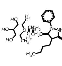 C=C.C=C.CCCCC1C(=O)NN(c2ccccc2)C1=O.CCOCC.OCC(O)CO